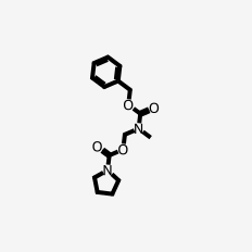 CN(COC(=O)N1CCCC1)C(=O)OCc1ccccc1